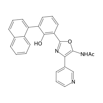 CC(=O)Nc1oc(-c2cccc(-c3cccc4ccccc34)c2O)nc1-c1cccnc1